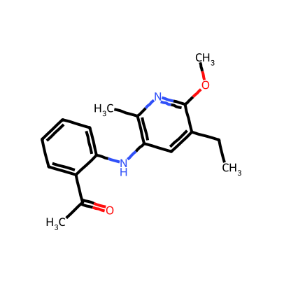 CCc1cc(Nc2ccccc2C(C)=O)c(C)nc1OC